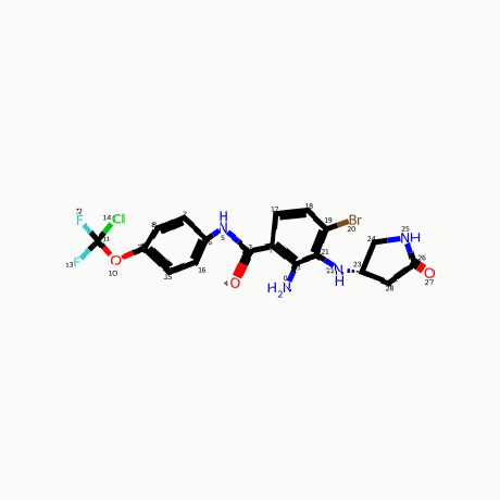 Nc1c(C(=O)Nc2ccc(OC(F)(F)Cl)cc2)ccc(Br)c1N[C@@H]1CNC(=O)C1